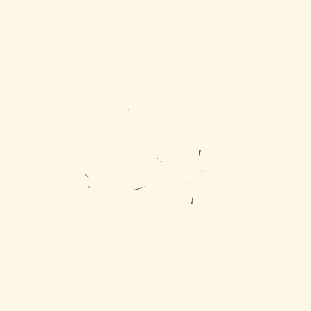 CC[C@@H](C)OC(=O)[C@@H]1C[C@H]2CC(=O)CC[C@H]2CN1C(=O)OC(C)(C)C